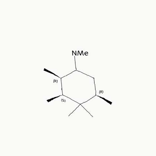 CNC1C[C@@H](C)C(C)(C)[C@@H](C)[C@H]1C